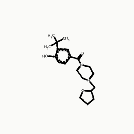 CC(C)(C)c1cc(C(=O)N2CCN(CC3CCCO3)CC2)ccc1O